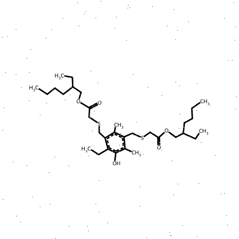 CCCCC(CC)COC(=O)CSCc1c(C)c(O)c(CC)c(CSCC(=O)OCC(CC)CCCC)c1C